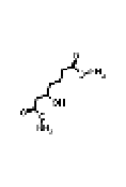 NOC(=O)CCCC(O)CC(=O)ON